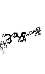 CC(C)(C)OC(=O)N1CCC(C(CC#N)n2ccc(-c3ncnc4c3ccn4COCC[Si](C)(C)C)c2)C1